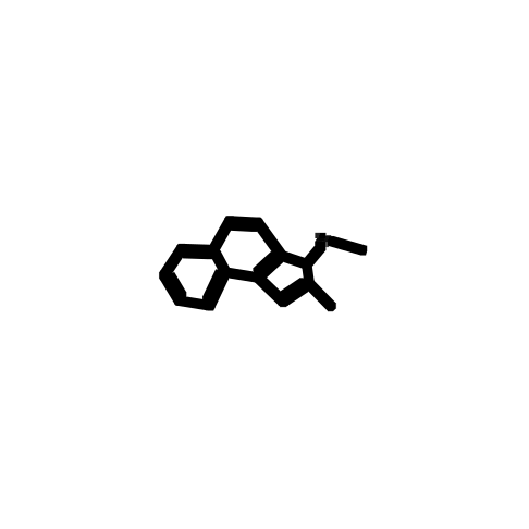 [CH3][Zr][CH]1C(C)=Cc2c1ccc1ccccc21